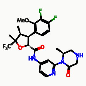 COc1c([C@H]2[C@H](C(=O)Nc3ccnc(N4C(=O)CNC[C@@H]4C)c3)O[C@@](C)(C(F)(F)F)[C@H]2C)ccc(F)c1F